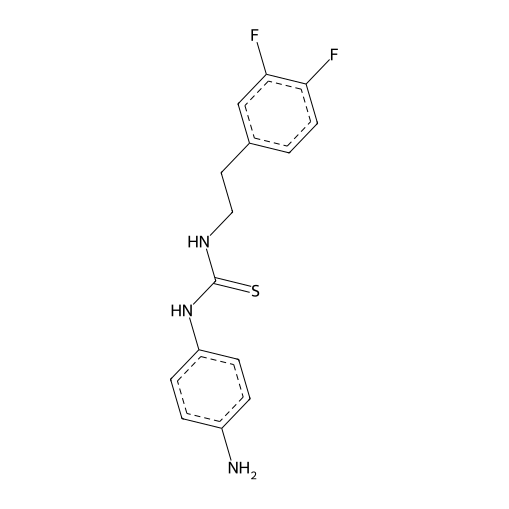 Nc1ccc(NC(=S)NCCc2ccc(F)c(F)c2)cc1